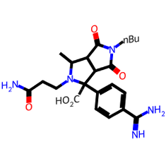 CCCCN1C(=O)C2C(C)N(CCC(N)=O)C(C(=O)O)(c3ccc(C(=N)N)cc3)C2C1=O